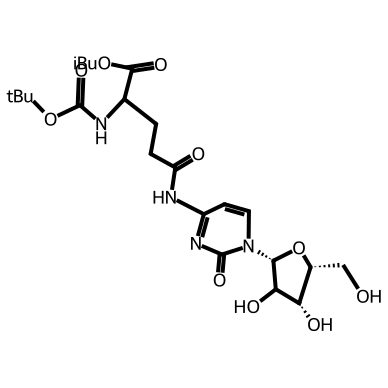 CC(C)COC(=O)C(CCC(=O)Nc1ccn([C@@H]2O[C@H](CO)[C@H](O)C2O)c(=O)n1)NC(=O)OC(C)(C)C